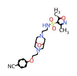 Cc1noc(C)c1S(=O)(=O)NCCN1CC2CN(CCOc3ccc(C#N)cc3)CC(C1)O2